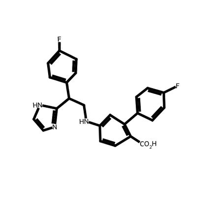 O=C(O)c1ccc(NCC(c2ccc(F)cc2)c2ncc[nH]2)cc1-c1ccc(F)cc1